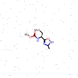 CSC[C@H](NC(=O)OC(C)(C)C)C1=NC(C)NO1